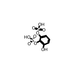 O=S(=O)(O)Oc1cccc(O)c1OS(=O)(=O)O